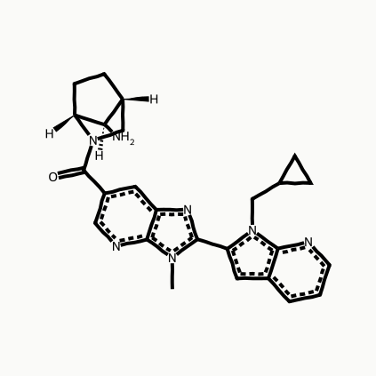 Cn1c(-c2cc3cccnc3n2CC2CC2)nc2cc(C(=O)N3C[C@H]4CC[C@@H]3[C@@H]4N)cnc21